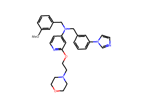 COc1cccc(CN(Cc2cccc(-n3ccnc3)c2)c2ccnc(OCCN3CCOCC3)c2)c1